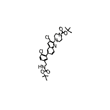 CC(C)(C)OC(=O)NCc1ccc(Cl)c(-c2ccc3nc(N4CCN(C(=O)OC(C)(C)C)CC4)c(Cl)cc3c2)c1